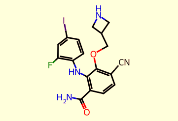 N#Cc1ccc(C(N)=O)c(Nc2ccc(I)cc2F)c1OCC1CNC1